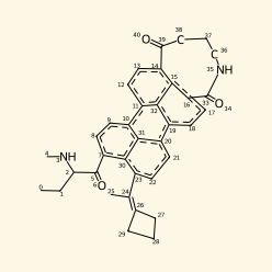 CCC(NC)C(=O)c1ccc2c3ccc4c5c(ccc(c6ccc(C(C)=C7CCC7)c1c26)c53)C(=O)NCCCC4=O